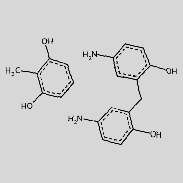 Cc1c(O)cccc1O.Nc1ccc(O)c(Cc2cc(N)ccc2O)c1